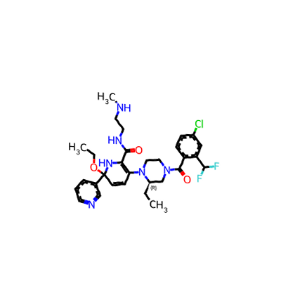 CCOC1(c2cccnc2)C=CC(N2CCN(C(=O)c3ccc(Cl)cc3C(F)F)C[C@H]2CC)=C(C(=O)NCCNC)N1